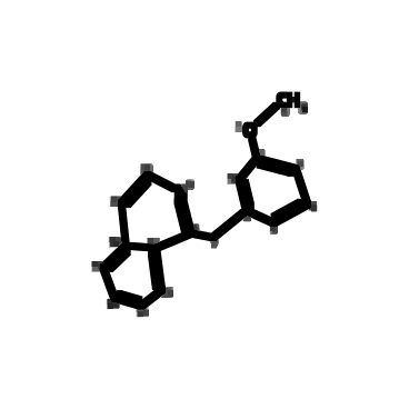 COc1cccc(Cc2nccc3ccccc23)c1